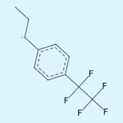 CC[CH]c1ccc(C(F)(F)C(F)(F)F)cc1